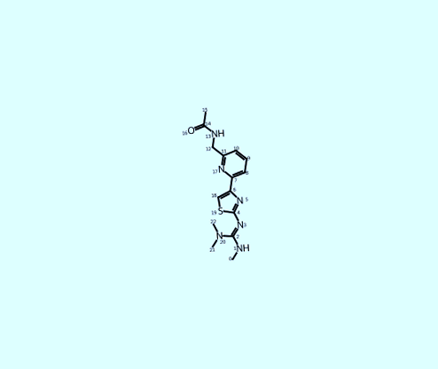 CN/C(=N/c1nc(-c2cccc(CNC(C)=O)n2)cs1)N(C)C